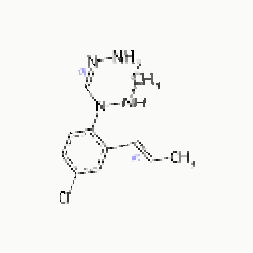 C/C=C/c1cc(Cl)ccc1N(/C=N\N)NC